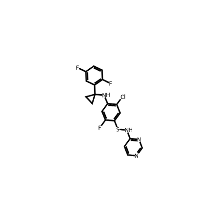 Fc1ccc(F)c(C2(Nc3cc(F)c(SNc4ccncn4)cc3Cl)CC2)c1